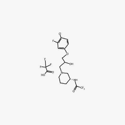 O=C(N[C@@H]1CCCN(CC(O)COc2ccc(Cl)c(F)c2)C1)C(F)(F)F.O=C(O)C(F)(F)F